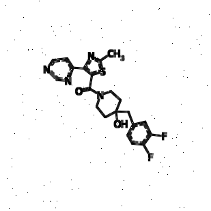 Cc1nc(-c2ccncn2)c(C(=O)N2CCC(O)(Cc3ccc(F)c(F)c3)CC2)s1